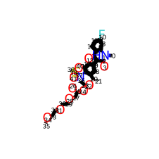 CNC(=O)c1c(-c2ccc(F)cc2)oc2cc3c(cc12)[C@H](C)OC(OC(=O)COCCOCCOC)CN3S(C)(=O)=O